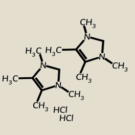 CC1=C(C)N(C)CN1C.CC1=C(C)N(C)CN1C.Cl.Cl